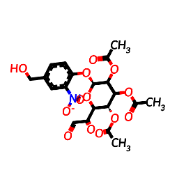 CC(=O)OC1C(OC(C)=O)[C@H](OC(C)=O)C(C(=O)C=O)O[C@H]1Oc1ccc(CO)cc1[N+](=O)[O-]